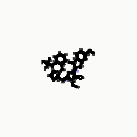 CCn1c(=O)/c(=C2\Sc3cc(OC)ccc3N2C)s/c1=C\c1scc[n+]1Cc1ccccc1SC(F)(F)F